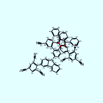 N#Cc1cc(C#N)c(-c2ccc3c(c2)c2ccccc2n3-c2ccc(-c3nc(-c4ccccc4)nc(-c4ccccc4)n3)c(-c3cc(C#N)ccc3-n3c4ccccc4c4cc(-c5c(C#N)cc(C#N)cc5C#N)ccc43)c2)c(C#N)c1